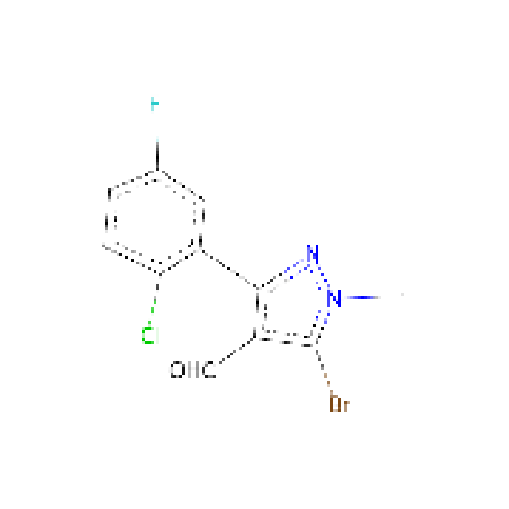 Cn1nc(-c2cc(F)ccc2Cl)c(C=O)c1Br